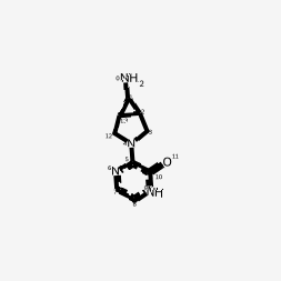 NC1C2CN(c3nc[c][nH]c3=O)CC12